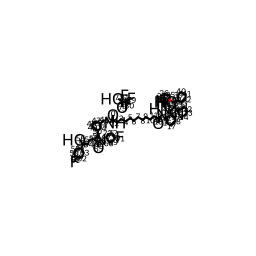 O=C(CCCCCCCCCCC(=O)Nc1ccccc1C(Nc1ccccn1)C(c1ccccn1)C(O)c1ccccc1)NCc1cccc(C2C(CCC(O)c3ccc(F)cc3)C(=O)N2c2ccc(F)cc2)c1.O=C(O)C(F)(F)F